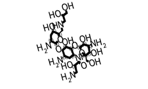 NC[C@H](O)C(=O)N[C@@H]1C[C@H](N)C(O[C@H]2O[C@H](CNCC(O)CO)[C@@H](O)C[C@H]2N)[C@H](O)[C@H]1O[C@H]1O[C@H](CO)[C@@H](O)[C@H](N)[C@H]1O